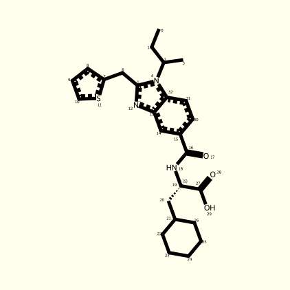 CCC(C)n1c(Cc2cccs2)nc2cc(C(=O)N[C@@H](CC3CCCCC3)C(=O)O)ccc21